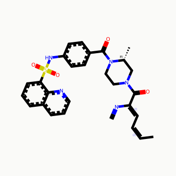 C=N/C(=C\C=C/C)C(=O)N1CCN(C(=O)c2ccc(NS(=O)(=O)c3cccc4cccnc34)cc2)[C@H](C)C1